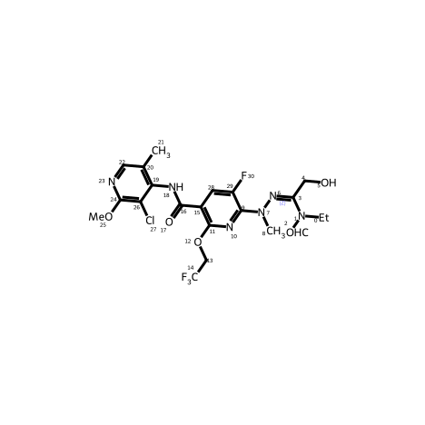 CCN(C=O)/C(CO)=N\N(C)c1nc(OCC(F)(F)F)c(C(=O)Nc2c(C)cnc(OC)c2Cl)cc1F